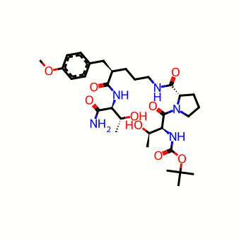 COc1ccc(C[C@@H](CCCNC(=O)[C@@H]2CCCN2C(=O)[C@@H](NC(=O)OC(C)(C)C)[C@@H](C)O)C(=O)N[C@H](C(N)=O)[C@@H](C)O)cc1